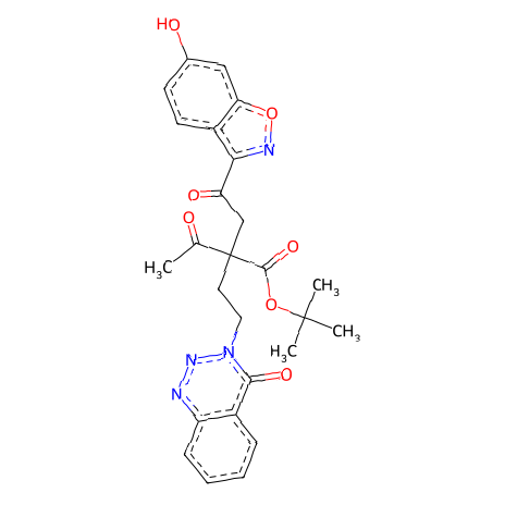 CC(=O)C(CCn1nnc2ccccc2c1=O)(CC(=O)c1noc2cc(O)ccc12)C(=O)OC(C)(C)C